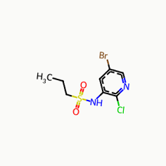 CCCS(=O)(=O)Nc1cc(Br)cnc1Cl